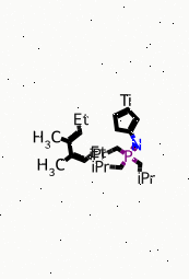 CC(C)CP(CC(C)C)(CC(C)C)=NC1=CC=CC1.CCC=C(C)C(C)=CCC.[Ti]